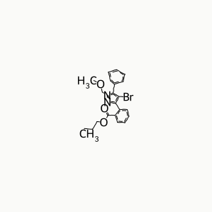 CCCCOC(=O)c1ccccc1-c1nn(COC)c(-c2ccccc2)c1Br